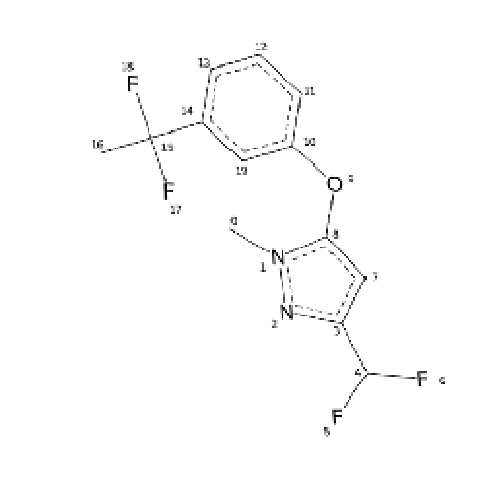 Cn1nc(C(F)F)cc1Oc1cccc(C(C)(F)F)c1